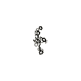 CCn1c(=O)n(CCCOC2CCCCO2)c(=O)c2c1nc(-c1ccc(OC3CC=CC3)nc1C)n2Cc1ccc(F)cc1